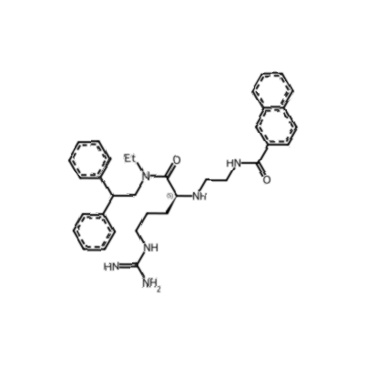 CCN(CC(c1ccccc1)c1ccccc1)C(=O)[C@H](CCCNC(=N)N)NCCNC(=O)c1ccc2ccccc2c1